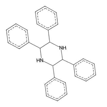 c1ccc(C2NC(c3ccccc3)C(c3ccccc3)NC2c2ccccc2)cc1